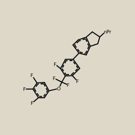 CCCC1Cc2ccc(-c3cc(F)c(C(F)(F)Oc4cc(F)c(F)c(F)c4)c(F)c3)cc2C1